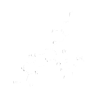 COC(=O)C(F)(F)F.Cc1cc(OCc2ccc(F)cc2F)c(Br)c(=O)n1Cc1ccnc(C(=O)O)n1